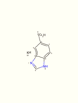 O=S(=O)(O)c1ccc2[nH]cnc2c1.[KH]